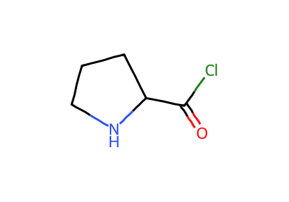 O=C(Cl)C1CCCN1